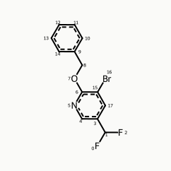 FC(F)c1cnc(OCc2ccccc2)c(Br)c1